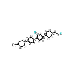 CCC1CCC(c2ccc(-c3ccc(C4CCC(CCF)CC4)cc3F)cc2)CC1